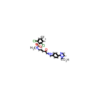 CN(CC=CC(=O)CNCc1ccc(C2=NCCN2C(=O)O)cc1)S(=O)(=O)c1c(Cl)cc(C(F)(F)F)cc1Cl